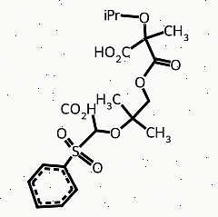 CC(C)OC(C)(C(=O)O)C(=O)OCC(C)(C)OC(C(=O)O)S(=O)(=O)c1ccccc1